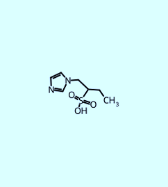 CCC(Cn1ccnc1)S(=O)(=O)O